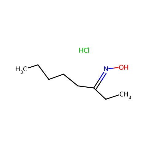 CCCCCC(CC)=NO.Cl